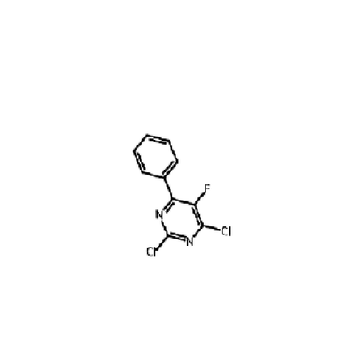 Fc1c(Cl)nc(Cl)nc1-c1ccccc1